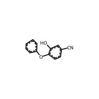 N#Cc1ccc(Oc2ccccc2)c(O)c1